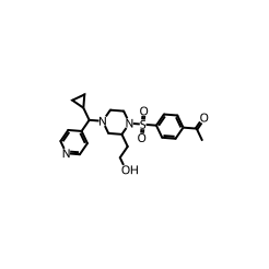 CC(=O)c1ccc(S(=O)(=O)N2CCN(C(c3ccncc3)C3CC3)CC2CCO)cc1